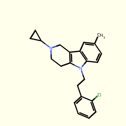 Cc1ccc2c(c1)c1c(n2CCc2ccccc2Cl)CCN(C2CC2)C1